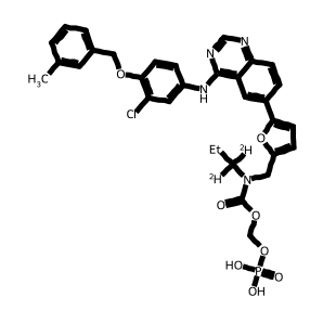 [2H]C([2H])(CC)N(Cc1ccc(-c2ccc3ncnc(Nc4ccc(OCc5cccc(C)c5)c(Cl)c4)c3c2)o1)C(=O)OCOP(=O)(O)O